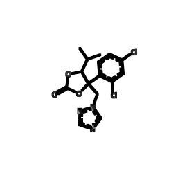 CC(C)C1OC(=O)OC1(Cn1cncn1)c1ccc(Cl)cc1Cl